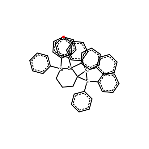 c1ccc([Si]2(c3ccccc3)CCCC3([Si]2(c2ccccc2)c2ccccc2)[Si](c2ccccc2)(c2ccccc2)[Si]3(c2ccccc2)c2ccccc2)cc1